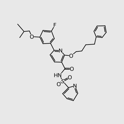 CC(C)COc1cc(F)cc(-c2ccc(C(=O)NS(=O)(=O)c3ccccn3)c(OCCCCc3ccccc3)n2)c1